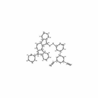 N#Cc1cc(C#N)cc(-c2cncc(CCn3c4ccccc4c4ccc5c(c6ccccc6n5-c5ccccc5)c43)c2)c1